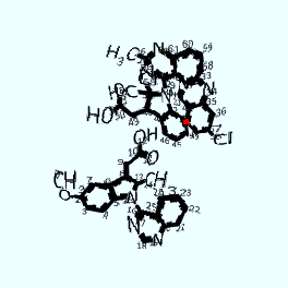 COc1ccc2c(c1)c(CC(=O)O)c(C)n2-c1ncnc2ccccc12.Cc1nc([N+]2(c3ncnc4cc(Cl)ccc34)c3ccccc3C(CC(=O)O)C2(C)C)c2ccccc2n1